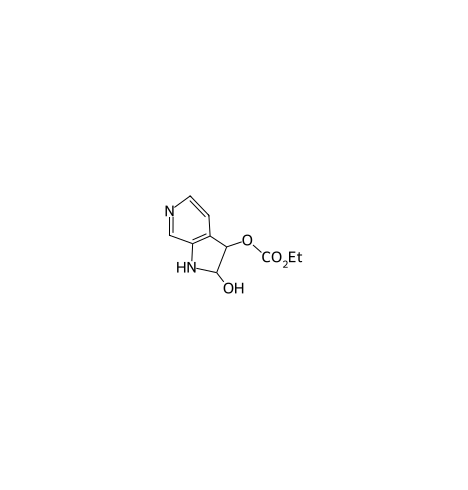 CCOC(=O)OC1c2ccncc2NC1O